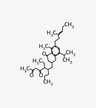 CC/C=C(\C)CCc1cc(C(C)C)c2c(c1C)C(=O)CC(CC(CCC)C(CC)C(=O)CC(C)=O)C2